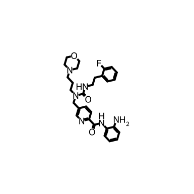 Nc1ccccc1NC(=O)c1ccc(CN(CCCN2CCOCC2)C(=O)NCCc2ccccc2F)cn1